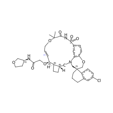 CC1(C)OC/C=C/[C@H](OCC(=O)N[C@H]2CCOC2)[C@@H]2CC[C@H]2CN2C[C@@]3(CCCc4cc(Cl)ccc43)COc3ccc(cc32)S(=O)(=O)NC1=O